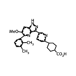 COc1cc2[nH]nc(-c3ccc(C4CCC(C(=O)O)CC4)nc3)c2nc1-c1cccc(C)c1C